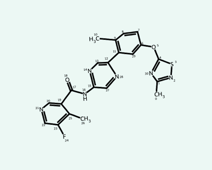 Cc1nsc(Oc2ccc(C)c(-c3cnc(NC(=O)c4cncc(F)c4C)cn3)c2)n1